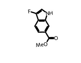 COC(=O)c1ccc2c(F)c[nH]c2c1